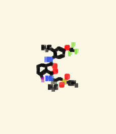 Cc1cc(OC(F)(F)F)ccc1NC(=O)c1cccc(I)c1C(=O)N[C@@H](C)CS(C)(=O)=O